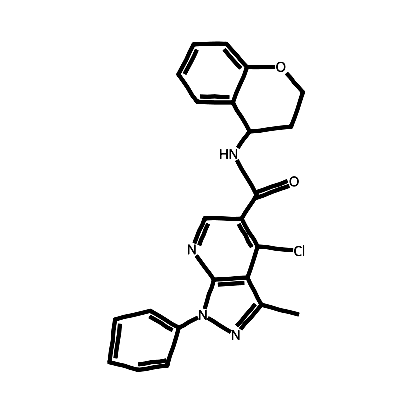 Cc1nn(-c2ccccc2)c2ncc(C(=O)NC3CCOc4ccccc43)c(Cl)c12